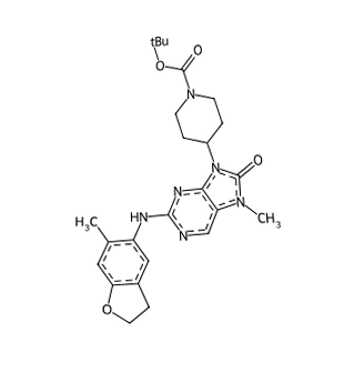 Cc1cc2c(cc1Nc1ncc3c(n1)n(C1CCN(C(=O)OC(C)(C)C)CC1)c(=O)n3C)CCO2